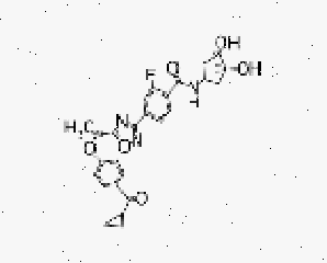 C[C@@H](Oc1ccc(C(=O)C2CC2)cc1)c1nc(-c2ccc(C(=O)NC3C[C@H](O)[C@@H](O)C3)c(F)c2)no1